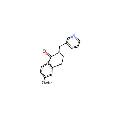 COc1ccc2c(c1)CCC(Cc1cccnc1)C2=O